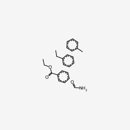 CCOC(=O)c1ccccc1.CCc1ccccc1.Cc1ccccc1.NC=O